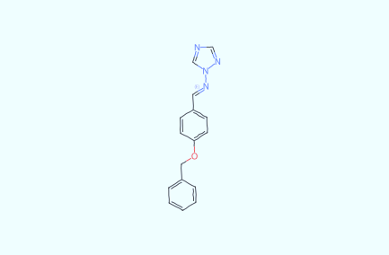 C(=N\n1cncn1)/c1ccc(OCc2ccccc2)cc1